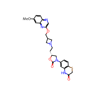 COc1ccc2ncc(OCC3CN(CC[C@@H]4CN(c5ccc6c(c5)NC(=O)CS6)C(=O)O4)C3)nc2c1